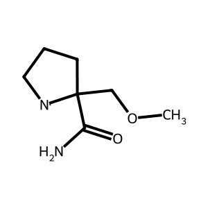 COCC1(C(N)=O)CCC[N]1